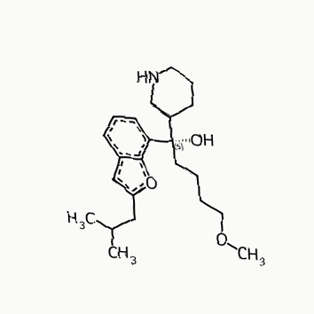 COCCCC[C@@](O)(c1cccc2cc(CC(C)C)oc12)C1CCCNC1